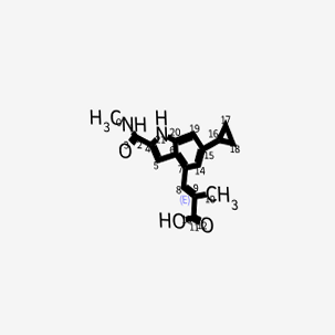 CNC(=O)c1cc2c(/C=C(\C)C(=O)O)cc(C3CC3)cc2[nH]1